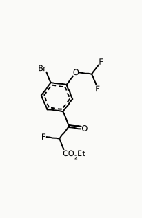 CCOC(=O)C(F)C(=O)c1ccc(Br)c(OC(F)F)c1